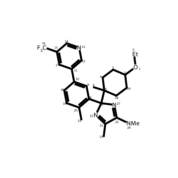 CCOC1CCC(C)(C2(c3cc(-c4cncc(C(F)(F)F)c4)ccc3C)N=C(C)C(NC)=N2)CC1